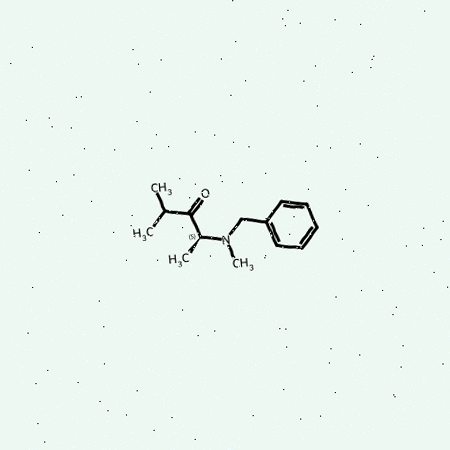 CC(C)C(=O)[C@H](C)N(C)Cc1ccccc1